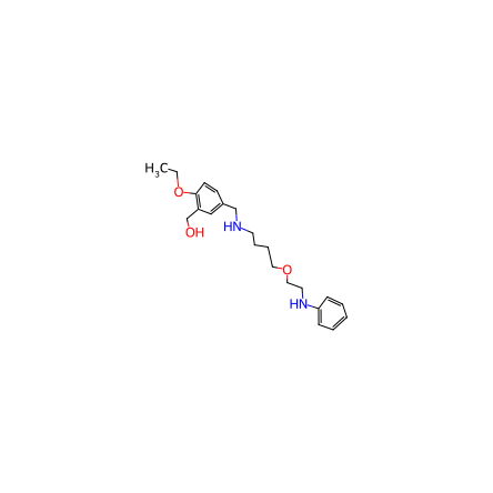 CCOc1ccc(CNCCCCOCCNc2ccccc2)cc1CO